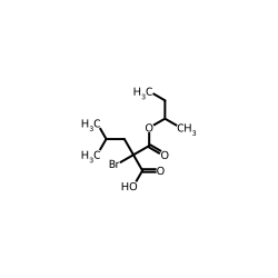 CCC(C)OC(=O)C(Br)(CC(C)C)C(=O)O